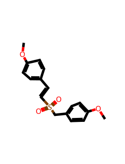 COc1ccc(C=CS(=O)(=O)Cc2ccc(OC)cc2)cc1